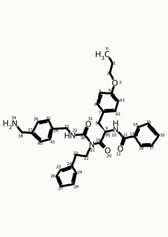 CCCOc1ccc(C[C@@H](NC(=O)c2ccccc2)C(=O)N(CCc2ccccc2)C(=O)NCc2ccc(CN)cc2)cc1